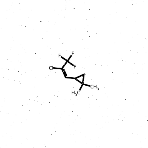 CC1(C)[CH]C1/C=C(/Cl)C(F)(F)F